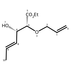 C=CCO[C@@H](C(=O)OCC)[C@@H](O)/C=C/C